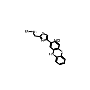 CCNCc1nc(-c2ccc3c(c2)Nc2ccccc2S3)cs1.Cl